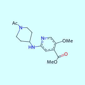 COC(=O)c1cc(NC2CCN(C(C)=O)CC2)ncc1OC